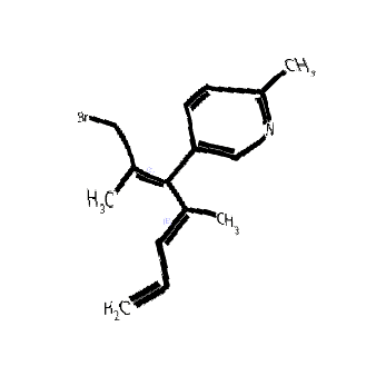 C=C/C=C(C)/C(=C(\C)CBr)c1ccc(C)nc1